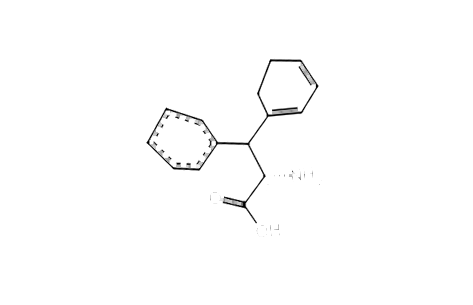 N[C@H](C(=O)O)C(C1=CC=CCC1)c1ccccc1